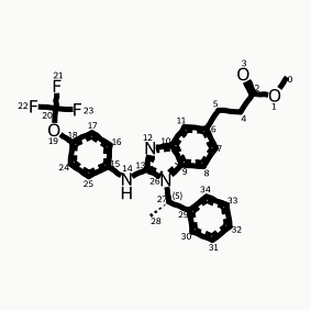 COC(=O)CCc1ccc2c(c1)nc(Nc1ccc(OC(F)(F)F)cc1)n2[C@@H](C)c1ccccc1